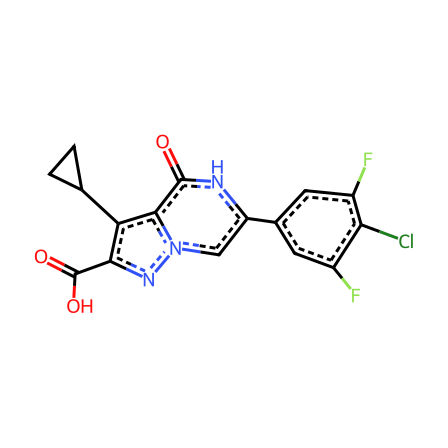 O=C(O)c1nn2cc(-c3cc(F)c(Cl)c(F)c3)[nH]c(=O)c2c1C1CC1